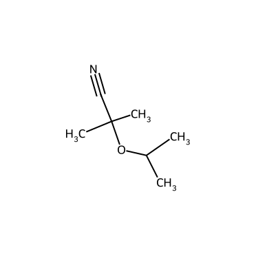 CC(C)OC(C)(C)C#N